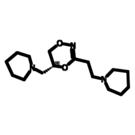 C1CCN(CCC2=NOC[C@@H](CN3CCCCC3)O2)CC1